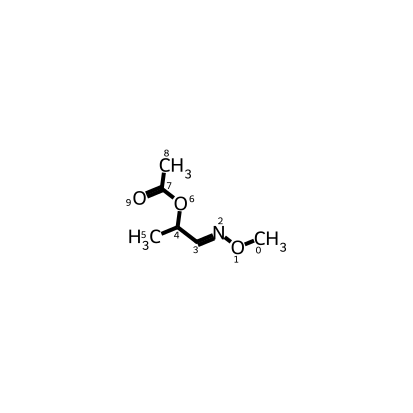 CON=CC(C)OC(C)=O